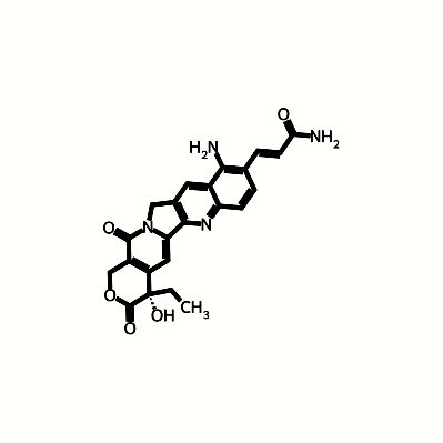 CC[C@@]1(O)C(=O)OCc2c1cc1n(c2=O)Cc2cc3c(N)c(C=CC(N)=O)ccc3nc2-1